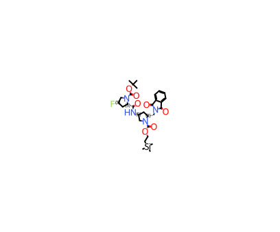 CC(C)(C)OC(=O)N1C[C@@H](F)C[C@H]1C(=O)N[C@@H]1C[C@H](CN2C(=O)c3ccccc3C2=O)N(C(=O)OCC[Si](C)(C)C)C1